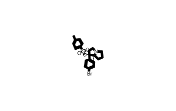 Cc1ccc(S(=O)(=O)O[C@]2(c3ccc(Br)cc3)CCN3CCC[C@H]32)cc1